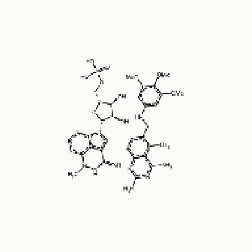 CN1NC(=N)c2cn([C@@H]3O[C@H](COP(=O)(O)O)[C@@H](O)[C@H]3O)c3ncnc1c23.COc1cc(NCc2ccc3nc(N)nc(N)c3c2C)cc(OC)c1OC